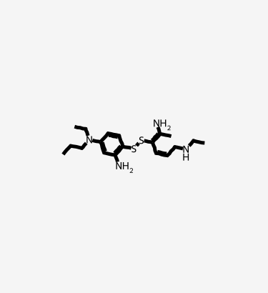 CCCN(CC)c1ccc(SSC(/C=C\CNCC)=C(/C)N)c(N)c1